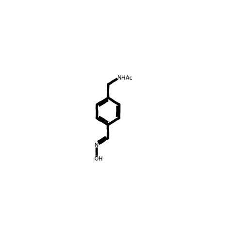 CC(=O)NCc1ccc(C=NO)cc1